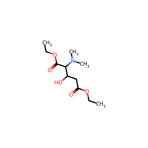 CCOC(=O)CC(O)C(C(=O)OCC)N(C)C